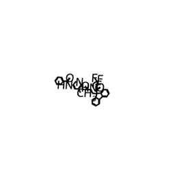 Cc1cc(NC(=O)c2ccccc2)cnc1OCCCC1(C(=O)NCC(F)(F)F)c2ccccc2-c2ccccc21